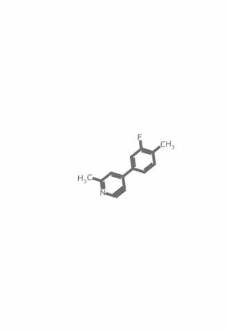 Cc1cc(-c2ccc(C)c(F)c2)c#cn1